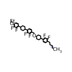 C/C=C/CCc1ccc(C2CCC(OCc3ccc(C4CCC(c5ccc(OCC)c(F)c5F)CC4)c(F)c3F)CC2)c(F)c1F